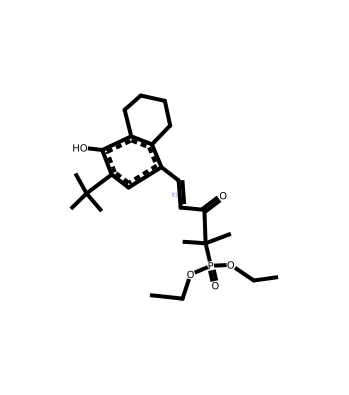 CCOP(=O)(OCC)C(C)(C)C(=O)/C=C/c1cc(C(C)(C)C)c(O)c2c1CCCC2